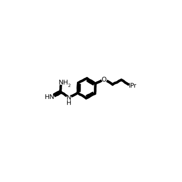 CC(C)CCOc1ccc(NC(=N)N)cc1